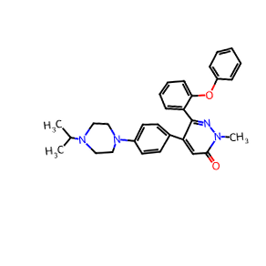 CC(C)N1CCN(c2ccc(-c3cc(=O)n(C)nc3-c3ccccc3Oc3ccccc3)cc2)CC1